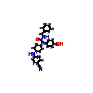 N#Cc1ccc(N[C@H]2CC[C@H](N(C(=O)NCc3ccccc3)c3ccc(O)cc3)CC2)nc1